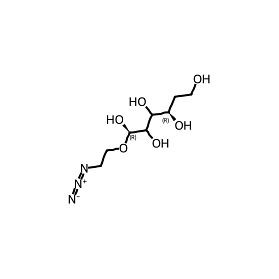 [N-]=[N+]=NCCO[C@@H](O)C(O)C(O)[C@H](O)CCO